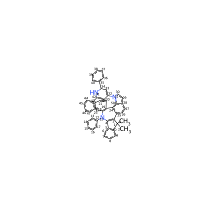 CC1(C)C2=C(c3ccccc31)N(c1ccccc1)C1=C(C=CCC1)c1c2ccc2ccn(C3=CC(c4ccccc4)NC(c4ccccc4)=C3)c12